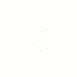 COc1ccc(C2=CN(C(=O)c3cc(C)c(C)cc3[N+](=O)[O-])[C@H](COC(C)=O)C2)cc1